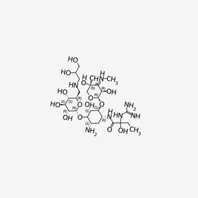 CCC(O)(NC(=N)N)C(=O)N[C@@H]1C[C@H](N)C(O[C@H]2O[C@H](CNCC(O)CO)[C@@H](O)[C@H](O)[C@H]2O)[C@H](O)[C@H]1O[C@H]1OC[C@](C)(O)[C@H](NC)[C@H]1O